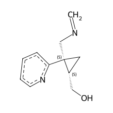 C=NC[C@]1(c2ccccn2)C[C@@H]1CO